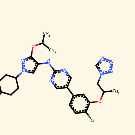 CC(C)Oc1nn(C2CCC(=O)CC2)cc1Nc1ncc(-c2ccc(Cl)c(OC(C)Cn3cnnn3)c2)cn1